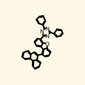 c1ccc(-c2nc(-c3ccccc3)nc(-c3cccc4c3oc3cccc(-c5cc6ccccc6c6ccccc56)c34)n2)cc1